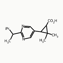 CC(C)C(C)c1ncc(C2C(C(=O)O)C2(C)C)cn1